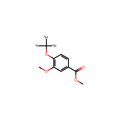 [2H]C([2H])([2H])Oc1ccc(C(=O)OC)cc1OC